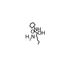 CCCC[C@H](N)[C@H](O)C(=O)NC1CCCCC1